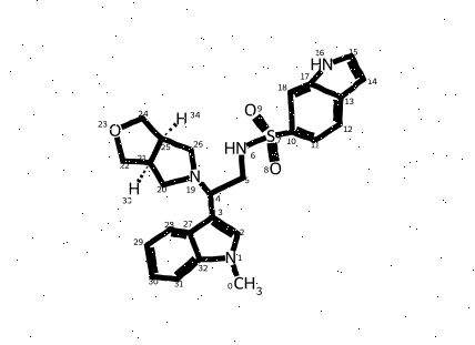 Cn1cc(C(CNS(=O)(=O)c2ccc3cc[nH]c3c2)N2C[C@H]3COC[C@H]3C2)c2ccccc21